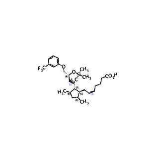 C[C@@H]1C[C@H](C)[C@H](C/C=C\CCCC(=O)O)[C@H]1/C=C/[C@H](COc1cccc(C(F)(F)F)c1)O[Si](C)(C)C